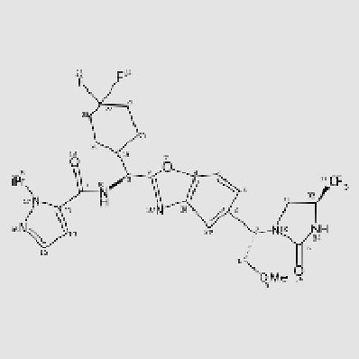 COC[C@H](c1ccc2oc([C@@H](NC(=O)c3ccnn3C(C)C)C3CCC(F)(F)CC3)nc2c1)N1C[C@@H](C(F)(F)F)NC1=O